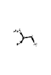 COC(CC(C)=O)C(C)C